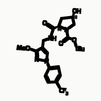 COc1nn(-c2ccc(C(F)(F)F)cc2)cc1CNC(=O)[C@@H]1C[C@H](O)CN1C(=O)OC(C)(C)C